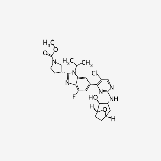 COC(=O)N1CC[C@@H](c2nc3c(F)cc(-c4nc(N[C@@H]5C[C@@H]6CC[C@@H](O6)[C@H]5O)ncc4Cl)cc3n2C(C)C)C1